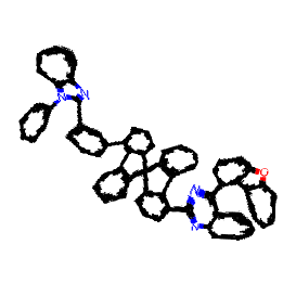 c1ccc(-n2c(-c3cccc(-c4cccc5c4-c4ccccc4C54c5ccccc5-c5c(-c6nc(-c7cccc8oc9ccccc9c78)c7ccccc7n6)cccc54)c3)nc3ccccc32)cc1